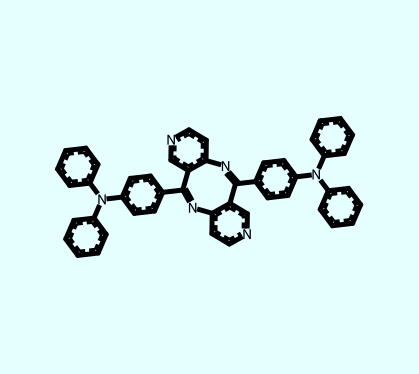 c1ccc(N(c2ccccc2)c2ccc(/C3=N/c4ccncc4/C(c4ccc(N(c5ccccc5)c5ccccc5)cc4)=N\c4ccncc43)cc2)cc1